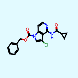 O=C(Nc1nccc2c1c(Cl)cn2C(=O)OCc1ccccc1)C1CC1